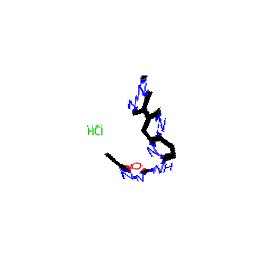 Cc1nnc(Nc2ccc3ncc(-c4cnn(C)c4)cc3n2)o1.Cl